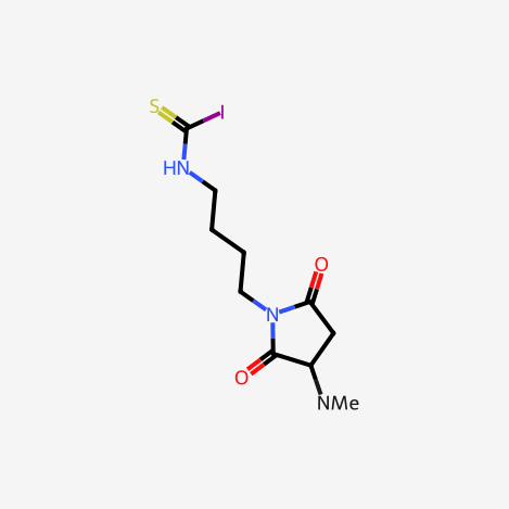 CNC1CC(=O)N(CCCCNC(=S)I)C1=O